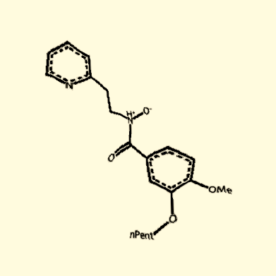 CCCCCOc1cc(C(=O)[NH+]([O-])CCc2ccccn2)ccc1OC